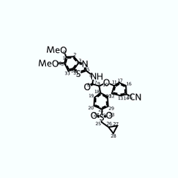 COc1cc2nc(NC(=O)C(Oc3ccc(C#N)cc3)c3ccc(S(=O)(=O)CC4CC4)cc3)sc2cc1OC